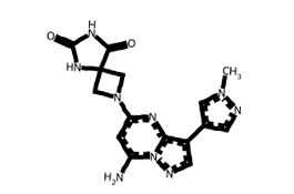 Cn1cc(-c2cnn3c(N)cc(N4CC5(C4)NC(=O)NC5=O)nc23)cn1